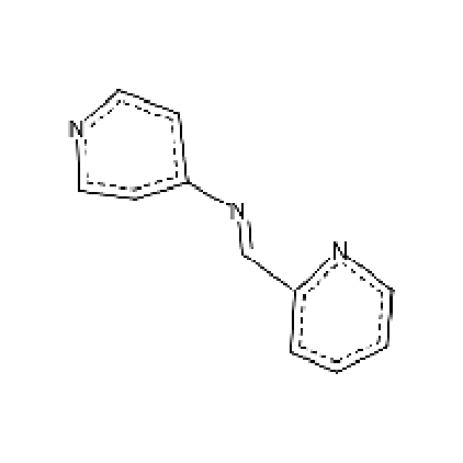 C(=Nc1ccncc1)c1ccccn1